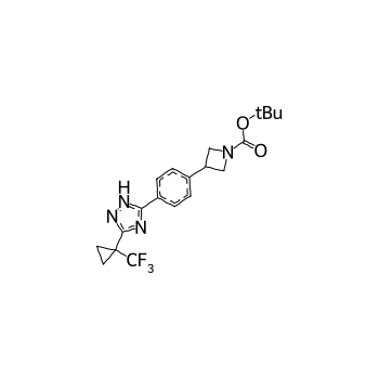 CC(C)(C)OC(=O)N1CC(c2ccc(-c3nc(C4(C(F)(F)F)CC4)n[nH]3)cc2)C1